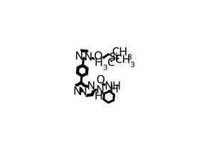 C[Si](C)(C)CCOCn1ccnc1-c1ccc(-c2cnn3ccc(N4C(=O)N[C@H]5CCCC[C@H]54)nc23)cc1